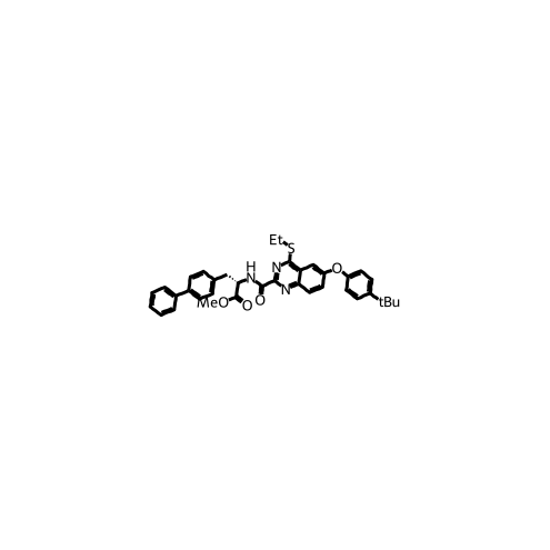 CCSc1nc(C(=O)N[C@@H](Cc2ccc(-c3ccccc3)cc2)C(=O)OC)nc2ccc(Oc3ccc(C(C)(C)C)cc3)cc12